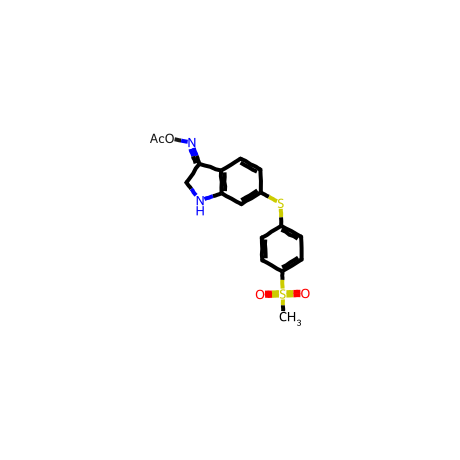 CC(=O)ON=C1CNc2cc(Sc3ccc(S(C)(=O)=O)cc3)ccc21